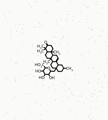 CC1CCC2(CC3OC(C(=O)O)C(O)C(O)C3O)CCC3C(=CCC4C3(C)CCC3C(C)(C)C(=O)CCC34C)C2C1